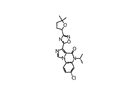 CC(C)n1c(=O)c2c(-c3nc(C4CCC(C)(C)O4)no3)ncn2c2ccc(Cl)cc21